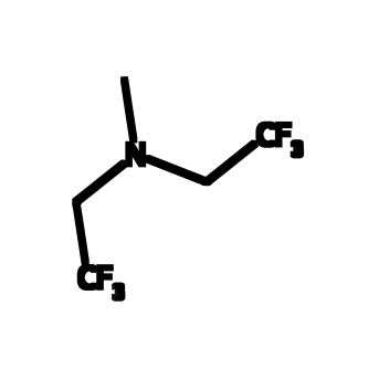 CN(CC(F)(F)F)CC(F)(F)F